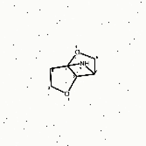 C1OC2[C]3OCC2NC13